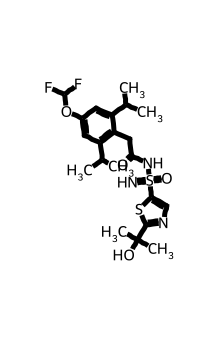 CC(C)c1cc(OC(F)F)cc(C(C)C)c1CC(=O)NS(=N)(=O)c1cnc(C(C)(C)O)s1